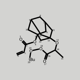 C=CC(=O)OC12CC3CC(C1)CC(OC(C)C(=O)OOC(C)(C)C)(C3)C2